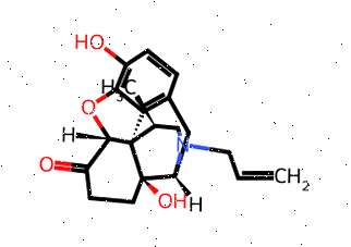 C=CCN1C[C@H](C)[C@]23c4c5ccc(O)c4O[C@H]2C(=O)CC[C@@]3(O)[C@H]1C5